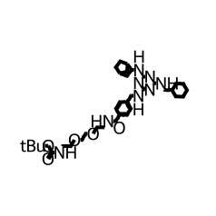 CC(C)(C)OC(=O)NCCOCCOCCNC(=O)c1ccc(CNc2nc(NCC3CCCCC3)nc(NC3CC4CCC3C4)n2)cc1